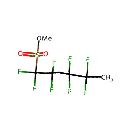 COS(=O)(=O)C(F)(F)C(F)(F)C(F)(F)C(C)(F)F